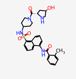 Cc1ccccc1C(=O)Nc1cccc2c(S(=O)(=O)NC3CCN(C(=O)[C@@H]4C[C@@H](O)CN4)CC3)cccc12